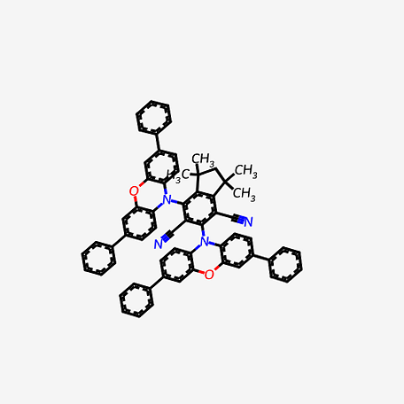 CC1(C)CC(C)(C)c2c(N3c4ccc(-c5ccccc5)cc4Oc4cc(-c5ccccc5)ccc43)c(C#N)c(N3c4ccc(-c5ccccc5)cc4Oc4cc(-c5ccccc5)ccc43)c(C#N)c21